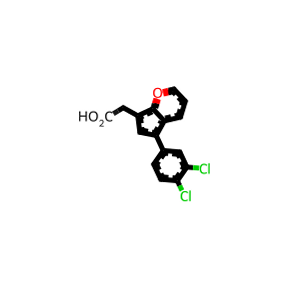 O=C(O)Cc1cc(-c2ccc(Cl)c(Cl)c2)c2cccoc1-2